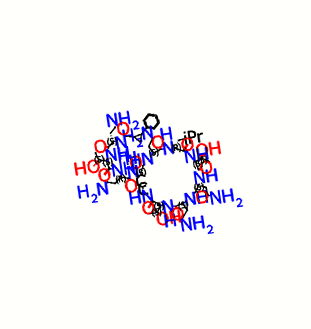 CC(C)C[C@H]1NC(=O)[C@H](CCN)NC(=O)[C@@H](NC(=O)[C@@H](CCN)NC(=O)[C@@H](NC(=O)[C@H](CCN)NC(=O)C2CC2c2ccccc2)[C@H](C)O)CCNC(=O)[C@H]([C@H](C)O)NC(=O)[C@H](CCN)NC(=O)[C@H](CCN)NC(=O)[C@H]([C@H](C)O)NC1=O